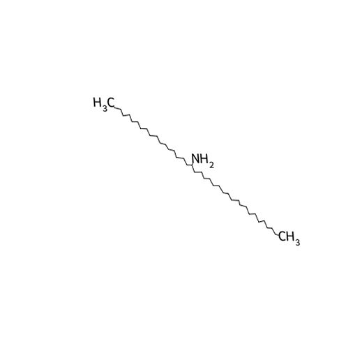 CCCCCCCCCCCCCCCCCCCCC(N)CCCCCCCCCCCCCCCCCC